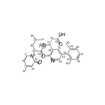 Cc1ccn(C(CC(C)C)C(=O)NC(CC(=O)O)c2cncc(-c3c(C)cccc3C)c2)c(=O)c1